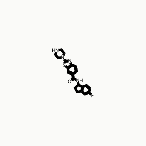 O=C(NC1CCc2cc(F)ccc21)c1ccc2nc(N3CCNCC3)sc2c1